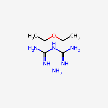 CCOCC.N.N=C(N)NC(=N)N